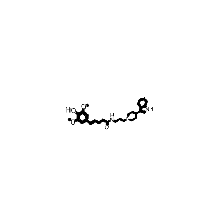 COc1cc(C=CC=CC(=O)NCCCN2CCC(c3c[nH]c4ccccc34)CC2)cc(OC)c1O